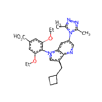 CCOc1cc(C(=O)O)cc(OCC)c1-n1cc(CC2CCC2)c2ncc(-n3c(C)nnc3C)cc21